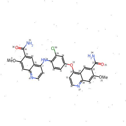 COc1cc2nccc(Nc3ccc(Oc4ccnc5cc(OC)c(C(N)=O)cc45)cc3Cl)c2cc1C(N)=O